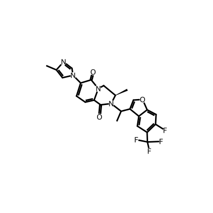 Cc1cn(-c2ccc3n(c2=O)C[C@@H](C)N(C(C)c2coc4cc(F)c(C(F)(F)F)cc24)C3=O)cn1